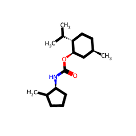 CC1CCC[C@@H]1NC(=O)O[C@@H]1C[C@H](C)CC[C@H]1C(C)C